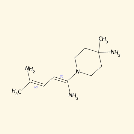 C/C(N)=C/C=C(\N)N1CCC(C)(N)CC1